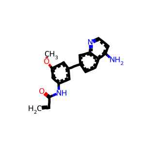 C=CC(=O)Nc1cc(OC)cc(-c2ccc3c(N)ccnc3c2)c1